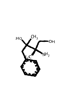 CC(N)(CO)C(C)(O)Cc1ccccc1